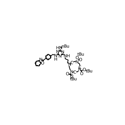 CCCCNc1nc(NCCCN2CCN(C(=O)OC(C)(C)C)CCN(C(=O)OC(C)(C)C)CCN(C(=O)OC(C)(C)C)CC2)nc(NCc2ccc(-c3nc4ccccc4o3)cc2)n1